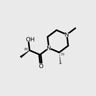 C[C@@H](O)C(=O)N1CCN(C)C[C@@H]1C